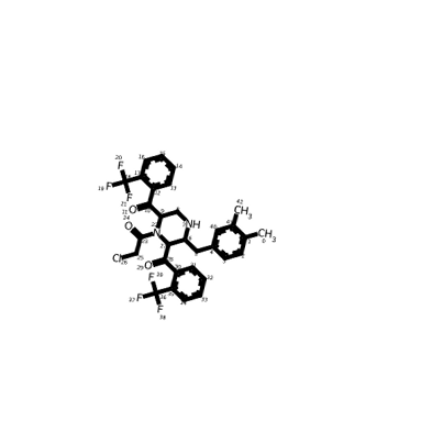 Cc1ccc(CC2NCC(C(=O)c3ccccc3C(F)(F)F)N(C(=O)CCl)C2C(=O)c2ccccc2C(F)(F)F)cc1C